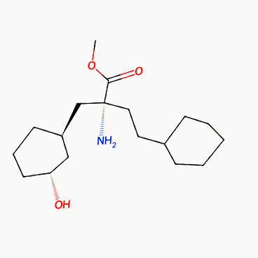 COC(=O)[C@@](N)(CCC1CCCCC1)C[C@@H]1CCC[C@@H](O)C1